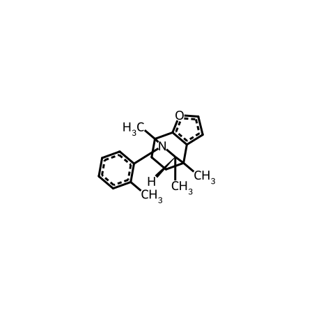 Cc1ccccc1N1[C@@H](C)C2(C)CCC1(C)c1occc12